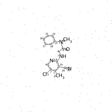 Cc1c(Cl)cnc(NCC(=O)N(C)c2ccccc2)c1C#N